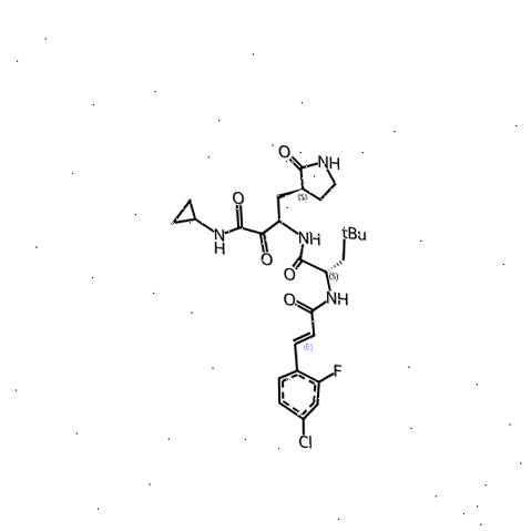 CC(C)(C)C[C@H](NC(=O)/C=C/c1ccc(Cl)cc1F)C(=O)NC(C[C@@H]1CCNC1=O)C(=O)C(=O)NC1CC1